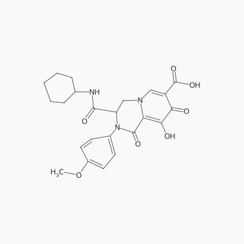 COc1ccc(N2C(=O)c3c(O)c(=O)c(C(=O)O)cn3CC2C(=O)NC2CCCCC2)cc1